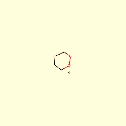 C1CCOOC1.[H]